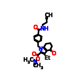 C#CCCNC(=O)c1ccc(Cn2c3c(c(CC)c2C(=O)ON(C)C)C(=O)CCC3)cc1